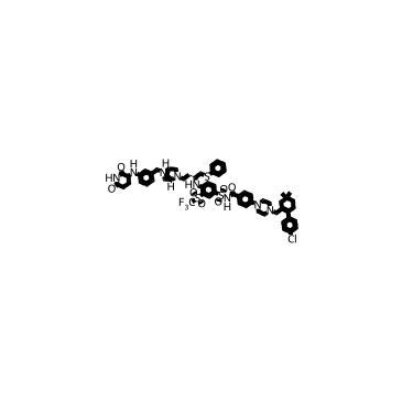 CC1(C)CCC(c2ccc(Cl)cc2)=C(CN2CCN(c3ccc(C(=O)NS(=O)(=O)c4ccc(N[C@H](CCN5C[C@H]6C[C@@H]5CN6Cc5cccc(NC6CCC(=O)NC6=O)c5)CSc5ccccc5)c(S(=O)(=O)C(F)(F)F)c4)cc3)CC2)C1